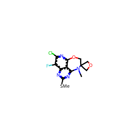 CSc1nc2c3c(nc(Cl)c(F)c3n1)OCC1(COC1)N2C